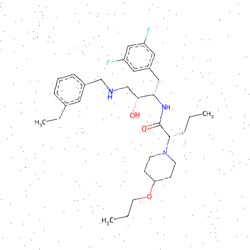 CCCOC1CCN([C@@H](CCC)C(=O)N[C@@H](Cc2cc(F)cc(F)c2)[C@H](O)CNCc2cccc(CC)c2)CC1